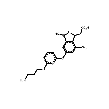 Cc1cc(Oc2ccnc(OCCCN)n2)cc2c1C(CC(=O)O)OB2O